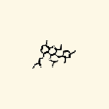 CCc1nc2c(F)ccc(OCC(=O)OC)c2c(OC(F)F)c1Cc1ccc(F)cc1Cl